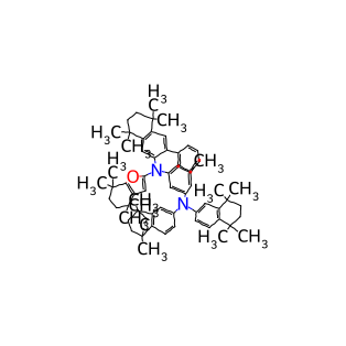 Cc1cc(N(c2ccc3c(c2)C(C)(C)CCC3(C)C)c2ccc3c(c2)C2(C)CCC3(C)CC2)cc(N(c2cc3c(o2)C(C)(C)CCC3(C)C)c2cc3c(cc2-c2ccccc2)C(C)(C)CCC3(C)C)c1